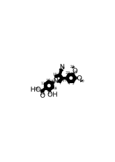 COc1ccc(-c2cn(-c3ccc(C(=O)O)c(O)c3)cc2C#N)cc1OC